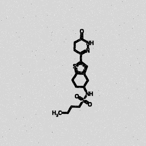 CCCCS(=O)(=O)NC1CCc2sc(C3=NNC(=O)CC3)cc2C1